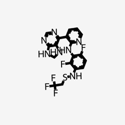 Fc1ccc(NSCC(F)(F)F)c(F)c1Nc1ncccc1-c1ncnc2c1NCN2